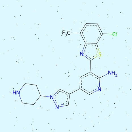 Nc1ncc(-c2cnn(C3CCNCC3)c2)cc1-c1nc2c(C(F)(F)F)ccc(Cl)c2s1